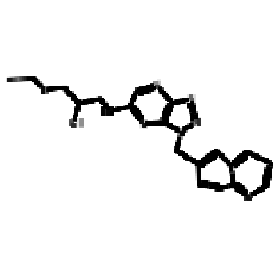 CCOCC(O)CNc1cnc2nnn(Cc3ccc4ncccc4c3)c2n1